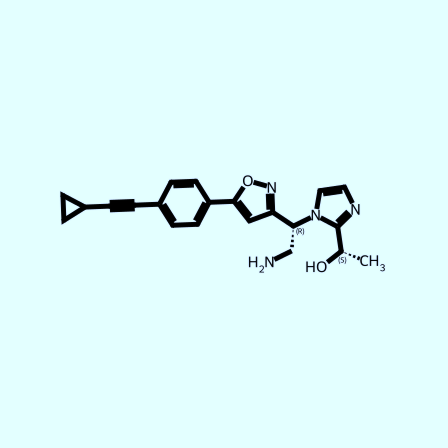 C[C@H](O)c1nccn1[C@H](CN)c1cc(-c2ccc(C#CC3CC3)cc2)on1